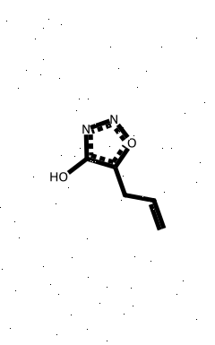 C=CCc1onnc1O